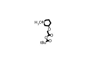 CN1CCC[C@@H](OCC(=O)OC(=O)C(C)(C)C)C1